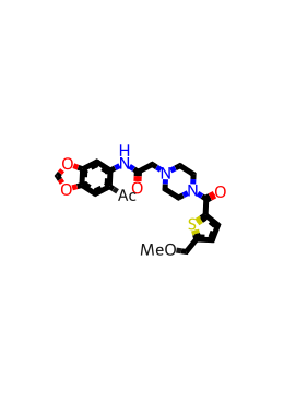 COCc1ccc(C(=O)N2CCN(CC(=O)Nc3cc4c(cc3C(C)=O)OCO4)CC2)s1